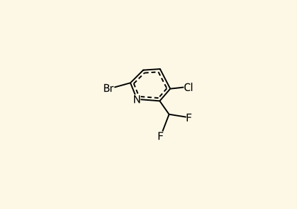 FC(F)c1nc(Br)ccc1Cl